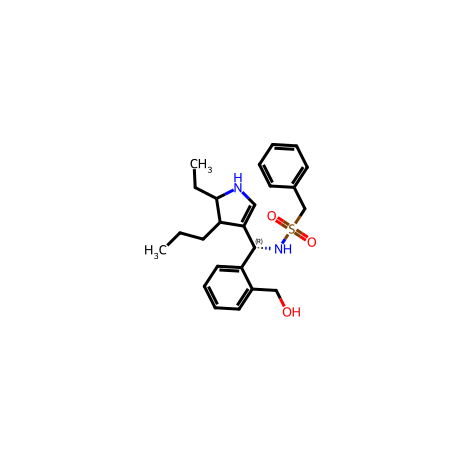 CCCC1C([C@H](NS(=O)(=O)Cc2ccccc2)c2ccccc2CO)=CNC1CC